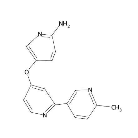 Cc1ccc(-c2cc(Oc3ccc(N)nc3)ccn2)cn1